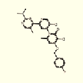 Cc1cnc(C(C)C)nc1-c1cc(-n2c(C)cc(OCc3ccc(F)cc3)c(Cl)c2=O)c(Cl)cn1